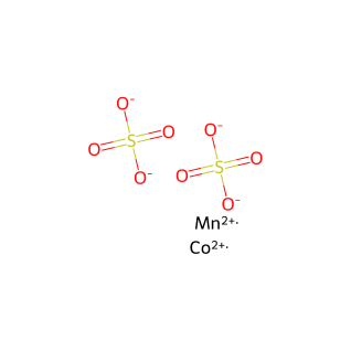 O=S(=O)([O-])[O-].O=S(=O)([O-])[O-].[Co+2].[Mn+2]